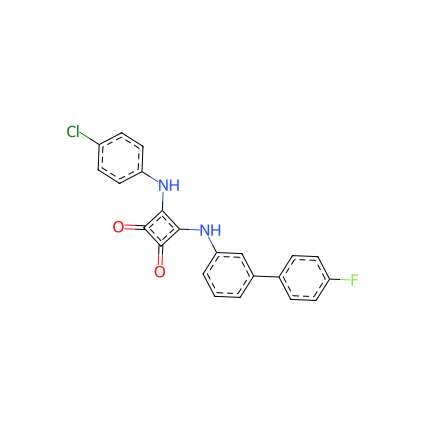 O=c1c(Nc2ccc(Cl)cc2)c(Nc2cccc(-c3ccc(F)cc3)c2)c1=O